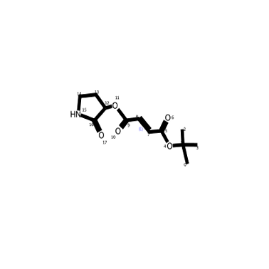 CC(C)(C)OC(=O)/C=C/C(=O)OC1CCNC1=O